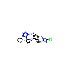 CCCCc1nc(Cl)nn1Cc1ccc(-n2ccc(C3CCCCC3)c2-c2nnn[nH]2)cc1